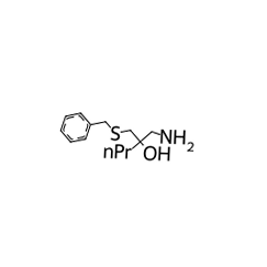 CCCC(O)(CN)CSCc1ccccc1